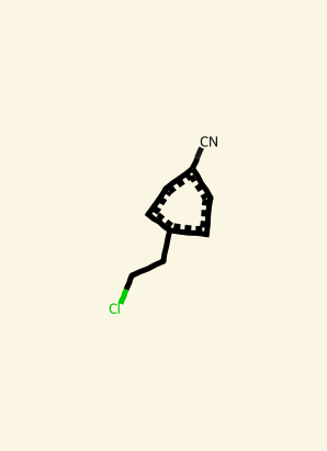 N#Cc1ccc(CCCl)cc1